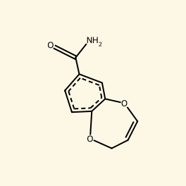 NC(=O)c1ccc2c(c1)OC=CCO2